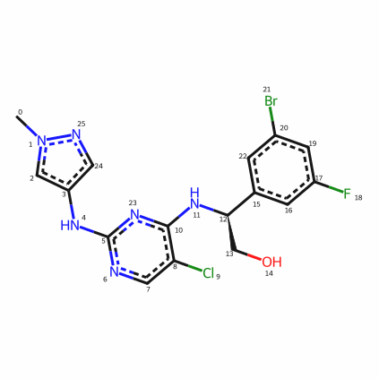 Cn1cc(Nc2ncc(Cl)c(N[C@H](CO)c3cc(F)cc(Br)c3)n2)cn1